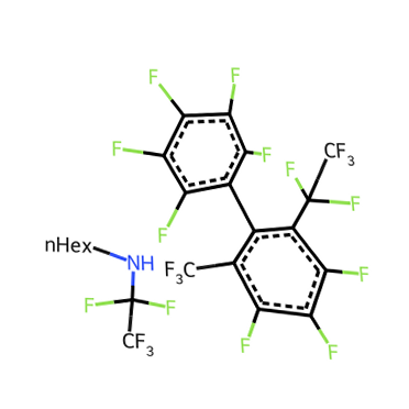 CCCCCCNC(F)(F)C(F)(F)F.Fc1c(F)c(F)c(-c2c(C(F)(F)F)c(F)c(F)c(F)c2C(F)(F)C(F)(F)F)c(F)c1F